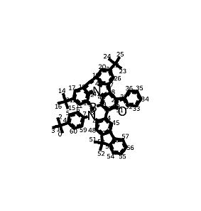 CC(C)(C)c1ccc(N2B3c4cc(C(C)(C)C)cc5c6cc(C(C)(C)C)cc7c8c9c(oc%10ccccc%109)c(c3c8n(c45)c67)-c3cc4c(cc32)C(C)(C)c2ccccc2-4)cc1